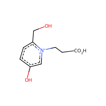 O=C(O)CC[n+]1cc(O)ccc1CO